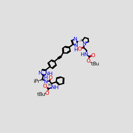 CC(C)[C@H](NC(=O)[C@H](NC(=O)OC(C)(C)C)c1ccccc1)c1ncc(-c2ccc(C#Cc3ccc(-c4cnc([C@@H]5CCCN5C(=O)CNC(=O)OC(C)(C)C)[nH]4)cc3)cc2)[nH]1